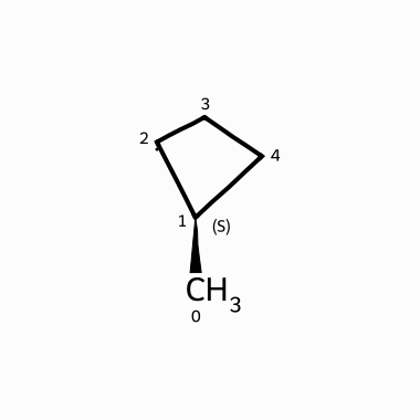 C[C@H]1[CH]CC1